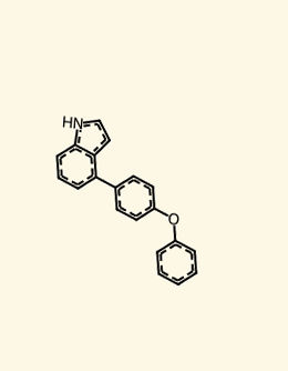 c1ccc(Oc2ccc(-c3cccc4[nH]ccc34)cc2)cc1